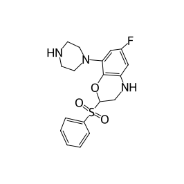 O=S(=O)(c1ccccc1)C1CNc2cc(F)cc(N3CCNCC3)c2O1